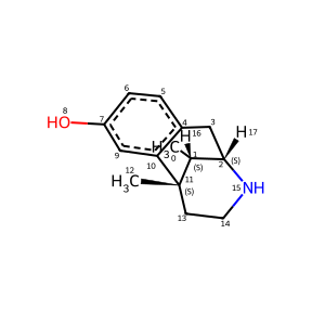 C[C@@H]1[C@@H]2Cc3ccc(O)cc3[C@@]1(C)CCN2